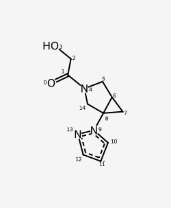 O=C(CO)N1CC2CC2(n2c[c]cn2)C1